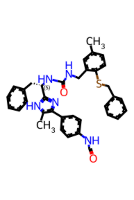 Cc1ccc(SCc2ccccc2)c(CNC(=O)N[C@@H](Cc2ccccc2)c2nc(-c3ccc(NC=O)cc3)c(C)[nH]2)c1